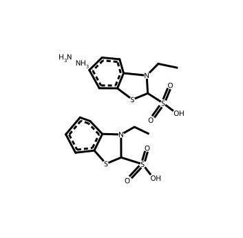 CCN1c2ccccc2SC1S(=O)(=O)O.CCN1c2ccccc2SC1S(=O)(=O)O.N.N